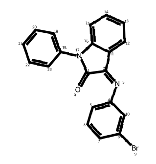 O=C1C(=Nc2cccc(Br)c2)c2ccccc2N1c1ccccc1